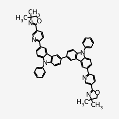 CC1(C)COC(c2ccc(-c3ccc4c(c3)c3cc(-c5ccc6c(c5)c5cc(-c7ccc(C8=NC(C)(C)CO8)cn7)ccc5n6-c5ccccc5)ccc3n4-c3ccccc3)nc2)=N1